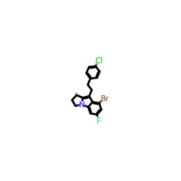 Fc1cc(Br)c2c(CCc3ccc(Cl)cc3)c3n(c2c1)CC[C]3